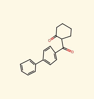 O=C1CCCCC1C(=O)c1ccc(-c2ccccc2)cc1